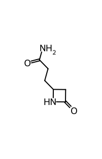 NC(=O)CCC1CC(=O)N1